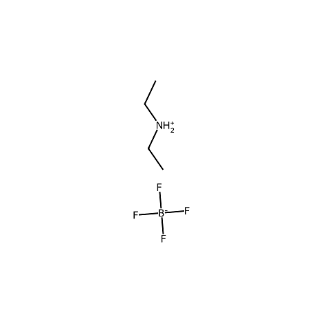 CC[NH2+]CC.F[B-](F)(F)F